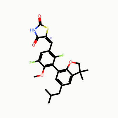 COc1c(F)cc(/C=C2/SC(=O)NC2=O)c(F)c1-c1cc(CC(C)C)cc2c1OCC2(C)C